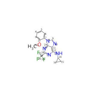 COc1ccccc1-n1cnc2c(NC3CC3)nc(C(F)(F)F)nc21